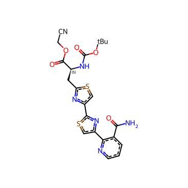 CC(C)(C)OC(=O)N[C@@H](Cc1nc(-c2nc(-c3ncccc3C(N)=O)cs2)cs1)C(=O)OCC#N